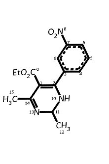 CCOC(=O)C1=C(c2cccc([N+](=O)[O-])c2)NC(C)N=C1C